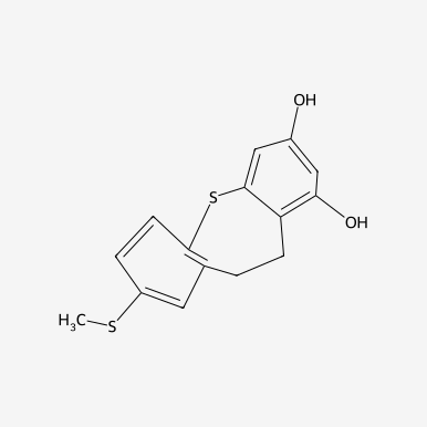 CSc1ccc2c(c1)CCc1c(O)cc(O)cc1S2